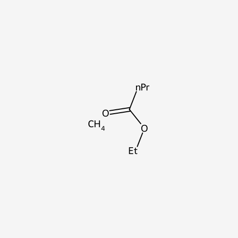 C.CCCC(=O)OCC